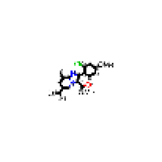 CCC(CC)c1cc(C)c2nc(-c3ccc(OC)cc3Cl)c(C(=O)OC)n2c1